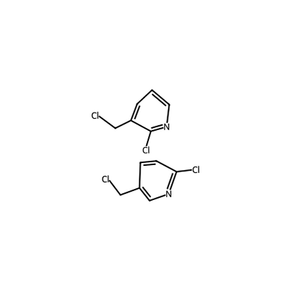 ClCc1ccc(Cl)nc1.ClCc1cccnc1Cl